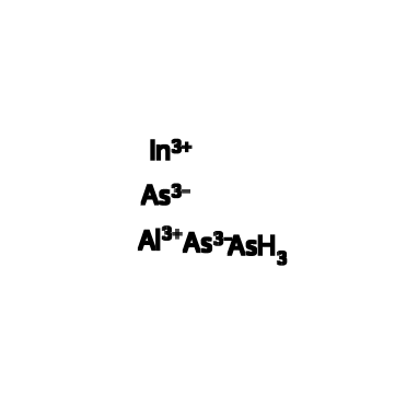 [Al+3].[As-3].[As-3].[AsH3].[In+3]